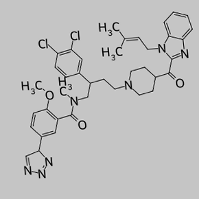 COc1ccc(C2C=NN=N2)cc1C(=O)N(C)CC(CCN1CCC(C(=O)c2nc3ccccc3n2CC=C(C)C)CC1)c1ccc(Cl)c(Cl)c1